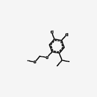 COCOc1cc(Cl)c(Cl)cc1C(C)C